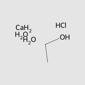 CCO.Cl.O.O.[CaH2]